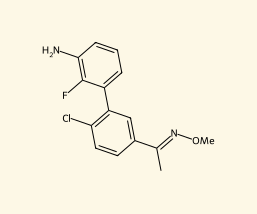 CON=C(C)c1ccc(Cl)c(-c2cccc(N)c2F)c1